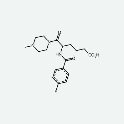 CN1CCN(C(=O)C(CCCC(=O)O)NC(=O)c2ccc(F)cc2)CC1